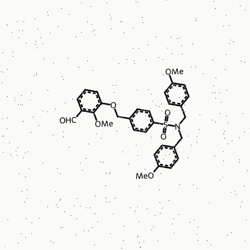 COc1ccc(CN(Cc2ccc(OC)cc2)S(=O)(=O)c2ccc(COc3cccc(C=O)c3OC)cc2)cc1